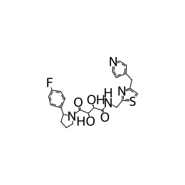 O=C(NCc1nc(Cc2ccncc2)cs1)[C@H](O)[C@@H](O)C(=O)N1CCCC1c1ccc(F)cc1